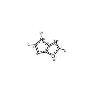 Cc1nc2c(cc(C)n2C)o1